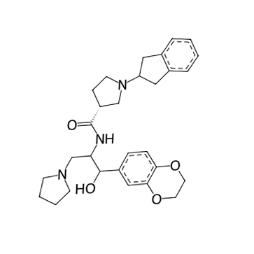 O=C(NC(CN1CCCC1)C(O)c1ccc2c(c1)OCCO2)[C@@H]1CCN(C2Cc3ccccc3C2)C1